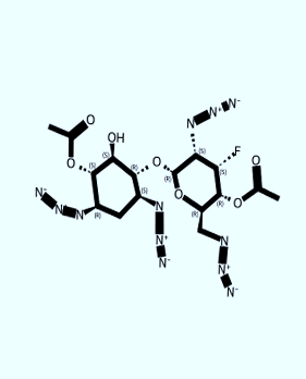 CC(=O)O[C@@H]1[C@@H](O)[C@H](O[C@H]2O[C@H](CN=[N+]=[N-])[C@@H](OC(C)=O)[C@@H](F)[C@H]2N=[N+]=[N-])[C@@H](N=[N+]=[N-])C[C@H]1N=[N+]=[N-]